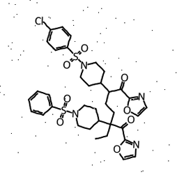 CCC(CCC(C(=O)c1ncco1)C1CCN(S(=O)(=O)c2ccc(Cl)cc2)CC1)(C(=O)c1ncco1)C1CCN(S(=O)(=O)c2ccccc2)CC1